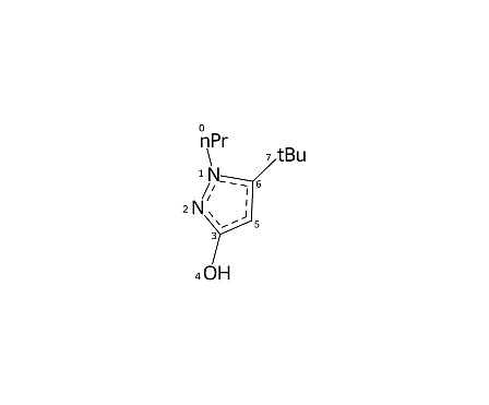 CCCn1nc(O)cc1C(C)(C)C